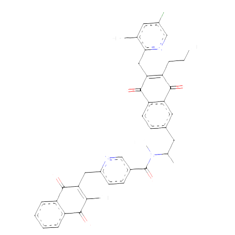 CCCC1=C(Cc2ncc(F)cc2C)C(=O)c2ccc(CC(C)N(C)C(=O)c3ccc(CC4=C(C)C(=O)c5ccccc5C4=O)nc3)cc2C1=O